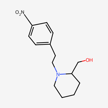 O=[N+]([O-])c1ccc(CCN2CCCCC2CO)cc1